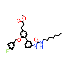 CCCCCCCNC(=O)N(C)c1cccc(-c2ccc(CCC(=O)OC)cc2OCc2ccc(F)cc2)c1